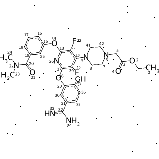 CCOC(=O)CN1CCN(c2c(F)c(Oc3cccc(C(=O)N(C)C)c3)nc(Oc3cc(C(=N)N)ccc3O)c2F)CC1